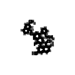 CCc1c(F)ccc2cc(O)cc(-c3ncc4c(N5CCC[C@H]5CN)nc(OC[C@@]56CCCN5C[C@H](C)C6)nc4c3F)c12